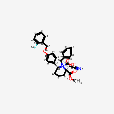 COC(=O)[C@@]1(CC#N)CCC[C@@H](c2ccc(OCc3ccccc3F)cc2)[N+]1(Cc1ccccc1)C(=O)[O-]